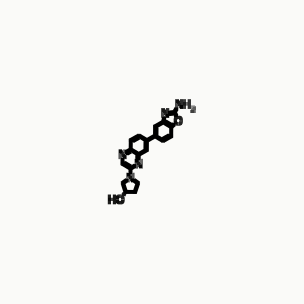 Nc1nc2cc(-c3ccc4ncc(N5CC[C@@H](O)C5)nc4c3)ccc2o1